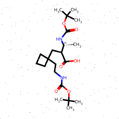 C[C@@H](NC(=O)OC(C)(C)C)C(CC1(CCNC(=O)OC(C)(C)C)CCC1)C(=O)O